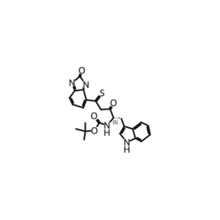 CC(C)(C)OC(=O)N[C@@H](Cc1c[nH]c2ccccc12)C(=O)CC(=S)c1cccc2c1=NC(=O)N=2